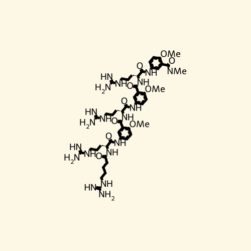 CNC(=O)c1cc(NC(=O)[C@@H](CCCNC(=N)N)NC(=O)c2cc(NC(=O)[C@@H](CCCNC(=N)N)NC(=O)c3cc(NC(=O)[C@@H](CCCNC(=N)N)NC(=O)CCCCNC(=N)N)ccc3OC)ccc2OC)ccc1OC